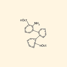 CCCCCCCCc1ccccc1-c1ccccc1-c1cccc(CCCCCCCC)c1N